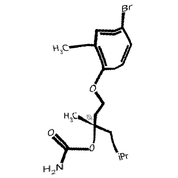 Cc1cc(Br)ccc1OC[C@](C)(CC(C)C)OC(N)=O